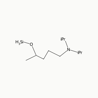 CC(CCCN(C(C)C)C(C)C)O[SiH3]